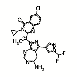 C[C@@H](c1nc2ccc(Cl)cc2c(=O)n1C1CC1)n1nc(-c2cnn(C(F)F)c2)c2c1N=CN=C(N)C2